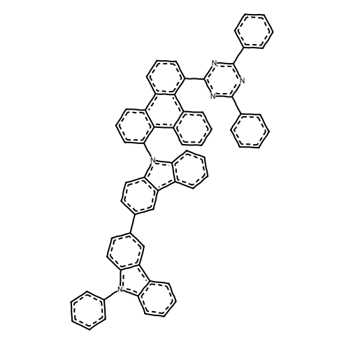 c1ccc(-c2nc(-c3ccccc3)nc(-c3cccc4c5cccc(-n6c7ccccc7c7cc(-c8ccc9c(c8)c8ccccc8n9-c8ccccc8)ccc76)c5c5ccccc5c34)n2)cc1